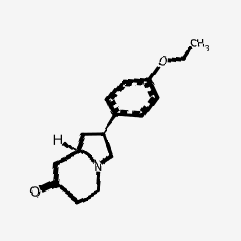 CCOc1ccc([C@@H]2C[C@H]3CC(=O)CCN3C2)cc1